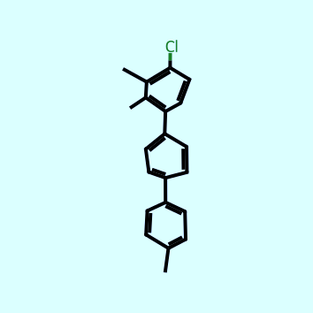 Cc1ccc(-c2ccc(-c3ccc(Cl)c(C)c3C)cc2)cc1